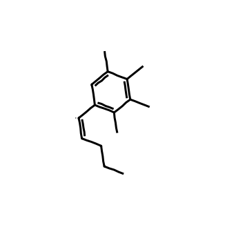 CCC/C=[C]\c1cc(C)c(C)c(C)c1C